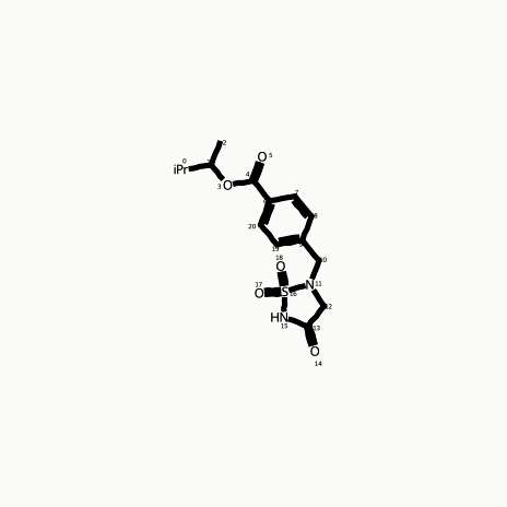 CC(C)C(C)OC(=O)c1ccc(CN2CC(=O)NS2(=O)=O)cc1